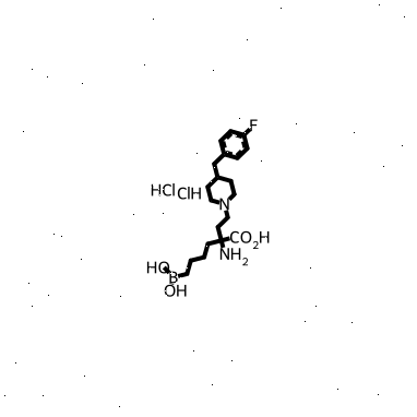 Cl.Cl.NC(CCCCB(O)O)(CCN1CCC(Cc2ccc(F)cc2)CC1)C(=O)O